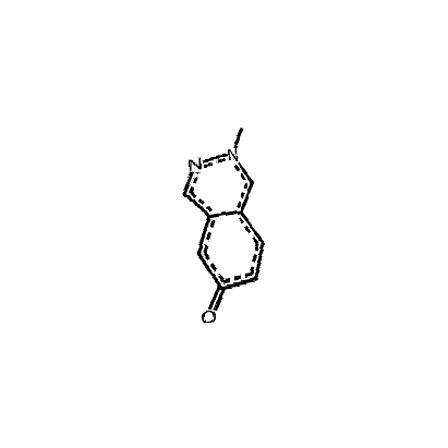 Cn1cc2ccc(=O)cc-2cn1